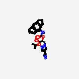 CC(C)OC(=O)[C@@H](Cn1cc(C#N)cn1)OC(=O)Nc1c2c(cc3c1CCC3)CCC2